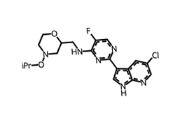 CC(C)ON1CCOC(CNc2nc(-c3c[nH]c4ncc(Cl)cc34)ncc2F)C1